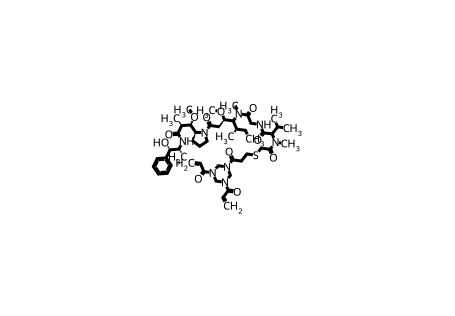 C=CC(=O)N1CN(C(=O)C=C)CN(C(=O)CCSCC(=O)N(C)C(C(=O)NCC(=O)N(C)C([C@H](C)CC)[C@@H](CC(=O)N2CCC[C@H]2[C@H](OC)[C@@H](C)C(=O)N[C@H](C)[C@@H](O)c2ccccc2)OC)C(C)C)C1